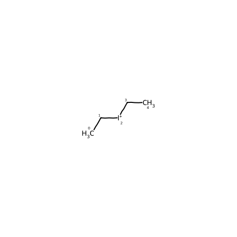 CC[I+]CC